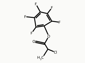 CC(Cl)C(=O)Oc1c(F)c(F)c(F)c(F)c1F